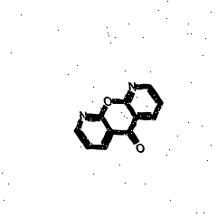 O=c1c2cccnc2oc2ncccc12